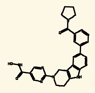 O=C(NO)c1cnc(N2CCc3[nH]c4ccc(-c5cccc(C(=O)N6CCCC6)c5)cc4c3C2)nc1